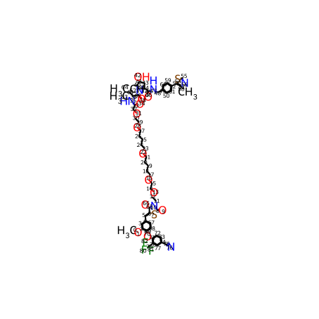 COc1cc(/C=C2\SC(=O)N(CCOCCOCCCCCOCCCCCOCCOCC(=O)N[C@H](C(=O)N3C[C@H](O)CC3C(=O)NCc3ccc(-c4scnc4C)cc3)C(C)(C)C)C2=O)ccc1Oc1ccc(C#N)cc1C(F)(F)F